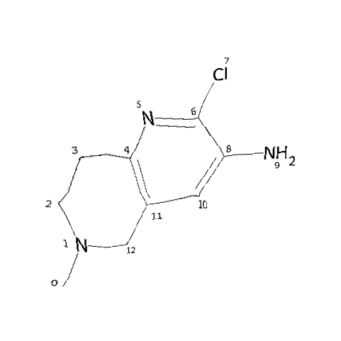 CN1CCc2nc(Cl)c(N)cc2C1